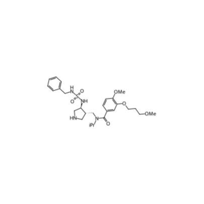 COCCCOc1cc(C(=O)N(C[C@@H]2CNC[C@H]2NS(=O)(=O)NCc2ccccc2)C(C)C)ccc1OC